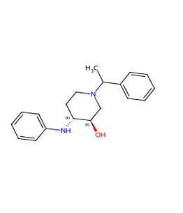 CC(c1ccccc1)N1CC[C@@H](Nc2ccccc2)[C@H](O)C1